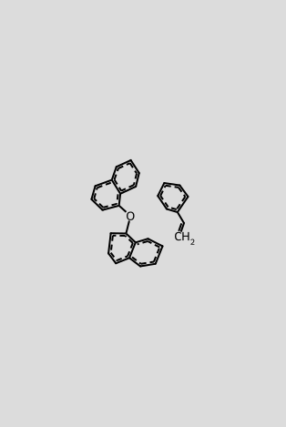 C=Cc1ccccc1.c1ccc2c(Oc3cccc4ccccc34)cccc2c1